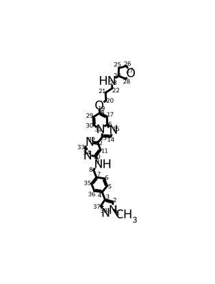 Cn1cc(-c2ccc(CNc3cc(-c4cnc5cc(OCCCNC6CCOC6)ccn45)ncn3)cc2)cn1